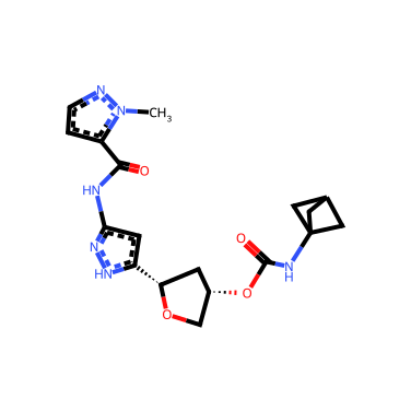 Cn1nccc1C(=O)Nc1cc([C@@H]2C[C@H](OC(=O)NC34CC(C3)C4)CO2)[nH]n1